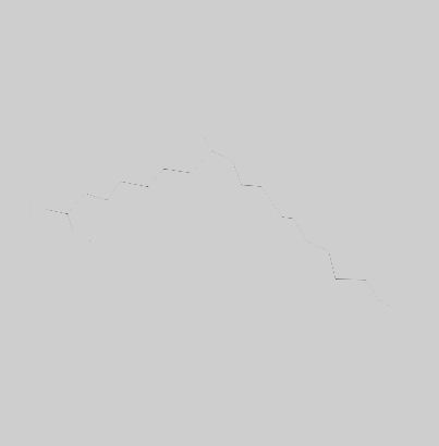 CCCCCCCCCCCN(C)CCCCCCC(C)C